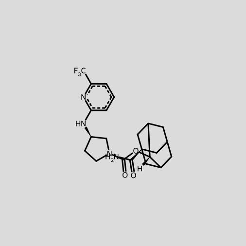 NC(=O)[C@]12CC3CC(C1)[C@@H](OC(=O)N1CC[C@@H](Nc4cccc(C(F)(F)F)n4)C1)C(C3)C2